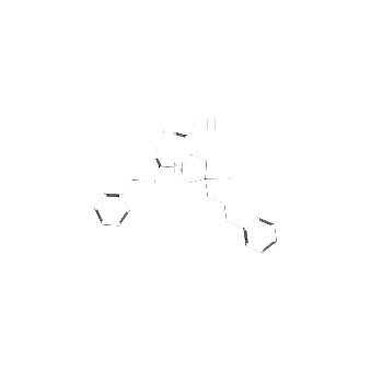 O=C(O)[C@@H]1CC(O)(CCCc2ccccc2)CN1C(=O)OCc1ccccc1